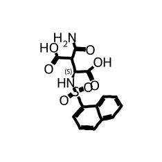 NC(=O)C(C(=O)O)[C@H](NS(=O)(=O)c1cccc2ccccc12)C(=O)O